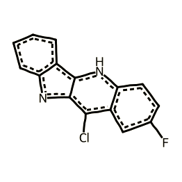 Fc1ccc2[nH]c3c4ccccc4nc-3c(Cl)c2c1